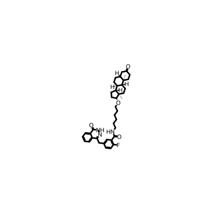 C[C@@]12CCC(=O)C[C@H]1CC[C@H]1[C@H]2CC[C@]2(C)[C@@H]1CC[C@H]2OCCCCCCNC(=O)c1cc(Cc2n[nH]c(=O)c3ccccc23)ccc1F